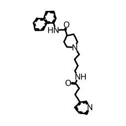 O=C(CCc1cccnc1)NCCCCN1CCC(C(=O)Nc2cccc3ccccc23)CC1